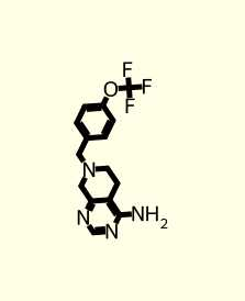 Nc1ncnc2c1CCN(Cc1ccc(OC(F)(F)F)cc1)C2